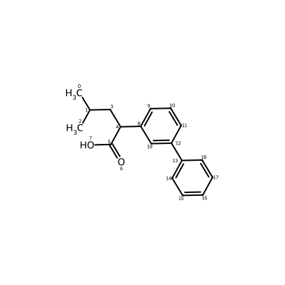 CC(C)CC(C(=O)O)c1cccc(-c2ccccc2)c1